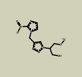 [11CH3]OCC(CO)n1cc(Cn2ccnc2[N+](=O)[O-])nn1